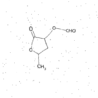 CC1CC(OC=O)C(=O)O1